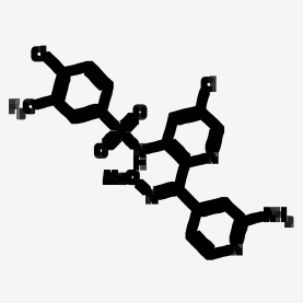 CON=C(c1ccnc(N)c1)c1ncc(Cl)cc1NS(=O)(=O)c1ccc(Cl)c(C(F)(F)F)c1